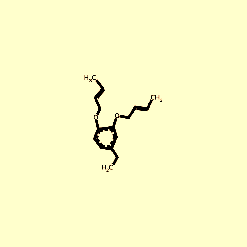 [CH2]Cc1ccc(OCC=CC)c(OCC=CC)c1